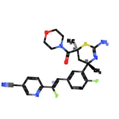 C[C@@]1(C(=O)N2CCOCC2)C[C@@](C)(c2cc(/C=C(\F)c3ccc(C#N)cn3)ccc2F)N=C(N)S1